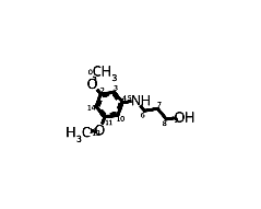 COc1cc(NCCCO)cc(OC)c1